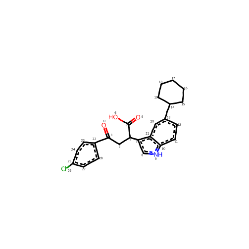 O=C(CC(C(=O)O)c1c[nH]c2ccc(C3CCCCC3)cc12)c1ccc(Cl)cc1